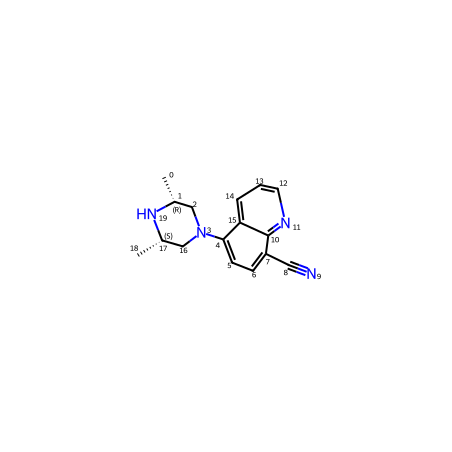 C[C@@H]1CN(c2ccc(C#N)c3ncccc23)C[C@H](C)N1